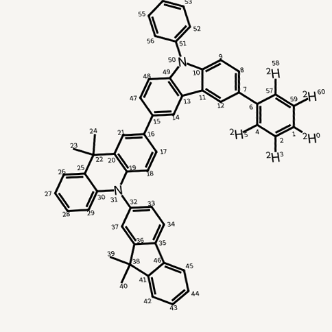 [2H]c1c([2H])c([2H])c(-c2ccc3c(c2)c2cc(-c4ccc5c(c4)C(C)(C)c4ccccc4N5c4ccc5c(c4)C(C)(C)c4ccccc4-5)ccc2n3-c2ccccc2)c([2H])c1[2H]